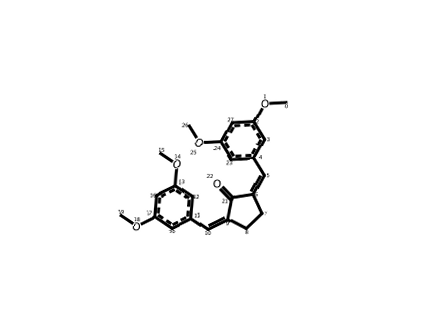 COc1cc(C=C2CCC(=Cc3cc(OC)cc(OC)c3)C2=O)cc(OC)c1